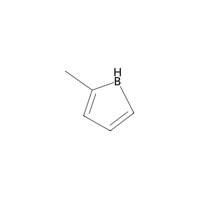 CC1=CC=CB1